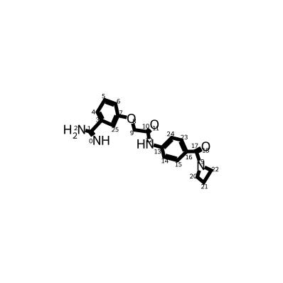 N=C(N)c1cccc(OCC(=O)Nc2ccc(C(=O)N3CCC3)cc2)c1